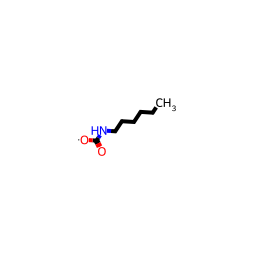 CCCCCCNC([O])=O